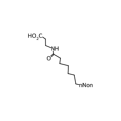 CCCCCCCCCCCCCCCC(=O)NCCC(=O)O